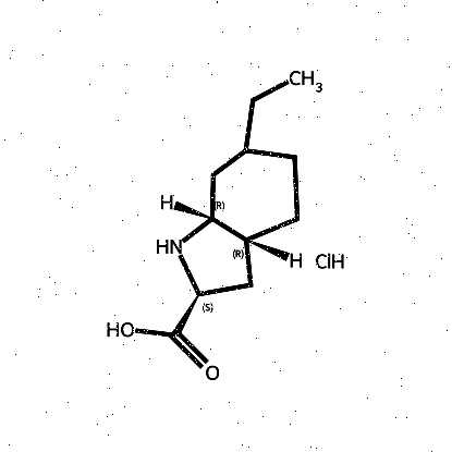 CCC1CC[C@@H]2C[C@@H](C(=O)O)N[C@@H]2C1.Cl